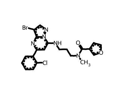 CN(CCCNc1cc(-c2ccccc2Cl)nc2c(Br)cnn12)C(=O)c1ccoc1